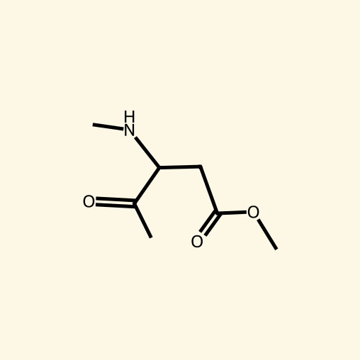 CNC(CC(=O)OC)C(C)=O